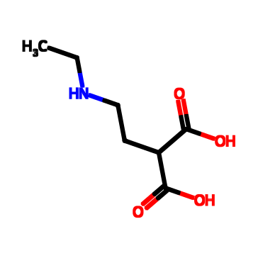 CCNCCC(C(=O)O)C(=O)O